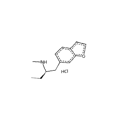 CC[C@H](Cc1ccc2ccoc2c1)NC.Cl